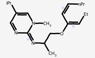 CC/C=C(\C=C/CCC)OCC(C)/N=c1/ncc(C(C)C)cn1C